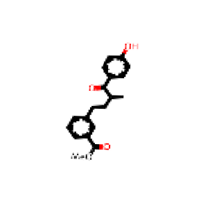 COC(=O)c1cccc(CCC(C)C(=O)c2ccc(O)cc2)c1